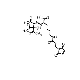 CC(=O)C(S)(C(C)=O)[C@H](N=NC(CCCCNC(=O)CCN1C(=O)C=CC1=O)C(=O)O)C(=O)O